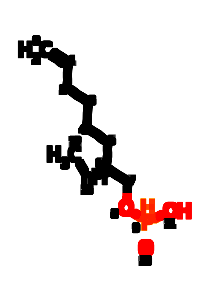 C=CCCCCCCO[PH](=O)O.CCCC